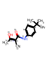 CCCC(C)(C)c1ccc(NC(=O)/C(C#N)=C(/C)O)cc1